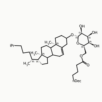 CCCCCCCCCCCCCC(=O)OC[C@H]1O[C@H](OC2CC[C@@]3(C)C(=CCC4C3CC[C@@]3(C)C4CC[C@@H]3[C@H](C)CCCC(C)C)C2)[C@@H](O)[C@@H](O)[C@H]1O